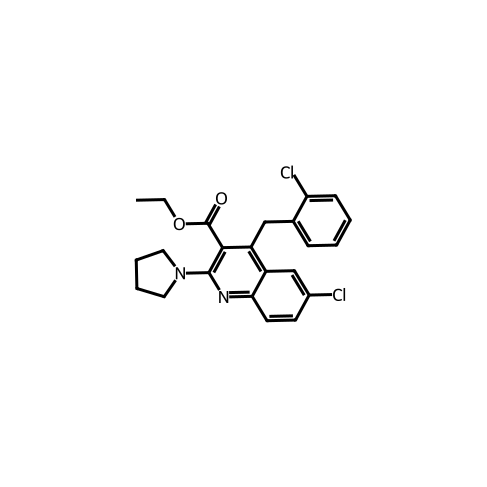 CCOC(=O)c1c(N2CCCC2)nc2ccc(Cl)cc2c1Cc1ccccc1Cl